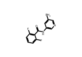 Bc1cncc(NC(=O)c2c(F)cccc2F)c1